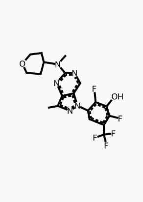 Cc1nn(-c2cc(C(F)(F)F)c(F)c(O)c2F)c2cnc(N(C)C3CCOCC3)nc12